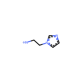 [NH]CCn1ccnc1